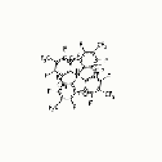 Fc1c(F)c([PH](c2c(F)c(F)c(C(F)(F)F)c(F)c2C(F)(F)F)(c2c(F)c(F)c(C(F)(F)F)c(F)c2C(F)(F)F)c2c(F)c(F)c(C(F)(F)F)c(F)c2C(F)(F)F)c(C(F)(F)F)c(F)c1C(F)(F)F